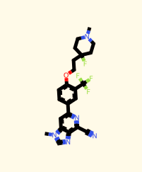 CN1CCC(F)(CCOc2ccc(-c3cc4c(ncn4C)c(C#N)n3)cc2C(F)(F)F)CC1